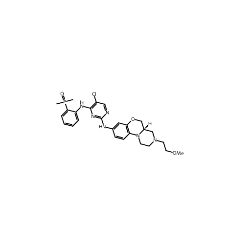 COCCN1CCN2c3ccc(Nc4ncc(Cl)c(Nc5ccccc5P(C)(C)=O)n4)cc3OC[C@@H]2C1